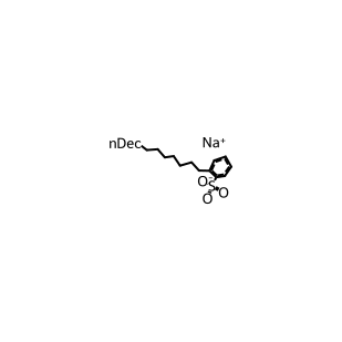 CCCCCCCCCCCCCCCCCc1ccccc1S(=O)(=O)[O-].[Na+]